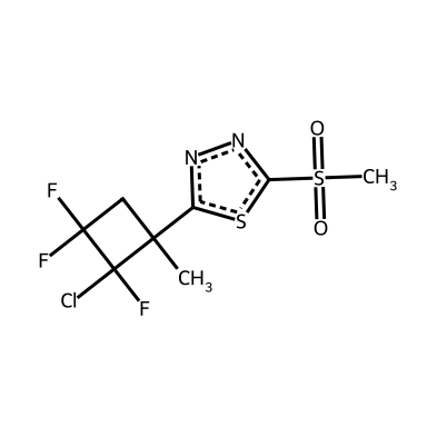 CC1(c2nnc(S(C)(=O)=O)s2)CC(F)(F)C1(F)Cl